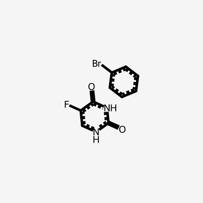 Brc1ccccc1.O=c1[nH]cc(F)c(=O)[nH]1